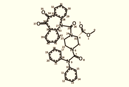 COC(=O)[C@@H]1CN(C(=O)N(c2ccccc2)c2ccccc2)CCN1C(=O)n1c2ccccc2c(=O)c(=O)c2ccccc21